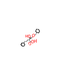 O=C(O)C(CCCc1ccccc1)[C@H](O)COCc1ccccc1